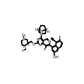 C#Cc1c(F)ccc2cc(O)cc(-c3ncc4c(N5C[C@H]6CC[C@@H](C5)N6)nc(OC[C@]5(C)CN(CC)CC[C@H]5CF)nc4c3F)c12